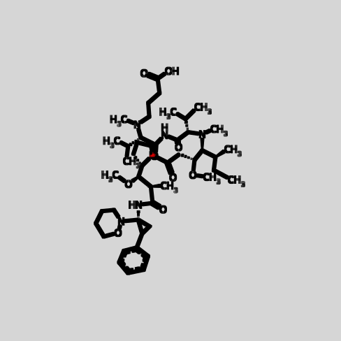 CC[C@H](C)[C@@H]([C@@H](CC(=O)N1CCC[C@H]1[C@H](OC)[C@@H](C)C(=O)N[C@]1(N2CCCCO2)CC1c1ccccc1)OC)N(C)[C@H](C(=O)NC(=O)[C@H](C(C)C)N(C)CCCC(=O)O)C(C)C